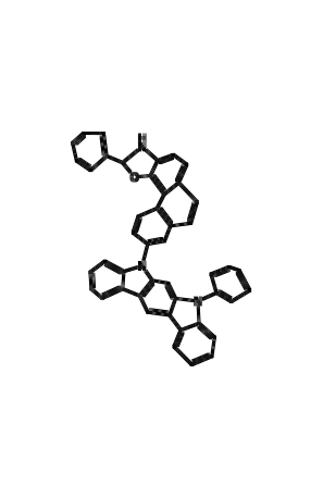 c1ccc(C2Nc3ccc4ccc5cc(-n6c7ccccc7c7cc8c9ccccc9n(-c9ccccc9)c8cc76)ccc5c4c3O2)cc1